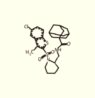 Cc1c(S(=O)(=O)N2CCCCC2CNC(=O)C23CC4CC(CC(C4)C2)C3)sc2ccc(Cl)cc12